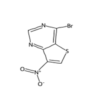 O=[N+]([O-])c1csc2c(Br)ncnc12